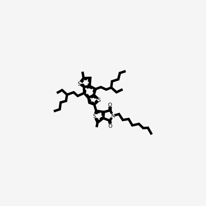 CCCCCCCCN1C(=O)c2c(C)sc(-c3cc4c(CCC(CC)CCCC)c5sc(C)cc5c(CCC(CC)CCCC)c4s3)c2C1=O